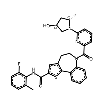 Cc1cccc(F)c1NC(=O)c1cc2c(s1)-c1ccccc1N(C(=O)c1cccc(N3C[C@@H](O)C[C@@H]3C)n1)CC2